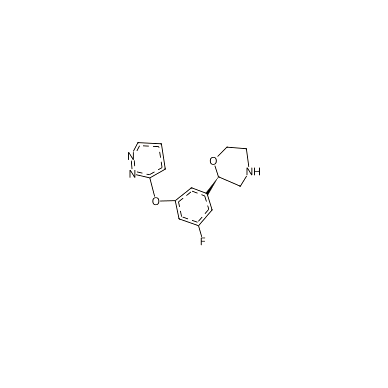 Fc1cc(Oc2cccnn2)cc([C@@H]2CNCCO2)c1